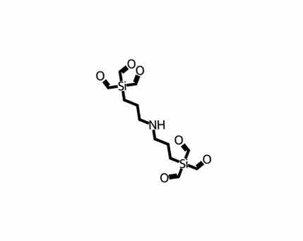 O=C[Si](C=O)(C=O)CCCNCCC[Si](C=O)(C=O)C=O